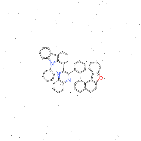 c1ccc(-n2c3ccccc3c3cccc(-c4nc5ccccc5nc4-c4ccccc4-c4cccc5ccc6oc7ccccc7c6c45)c32)cc1